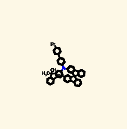 CC(C)c1ccc(-c2ccc(N(c3ccc4c(c3)C(C)(C)c3ccccc3-4)c3ccc4c(c3)C3(c5ccccc5-4)c4ccccc4-c4ccc(C(C)(C)C)cc43)cc2)cc1